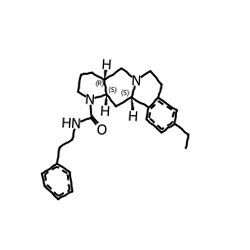 CCc1ccc2c(c1)CCN1C[C@H]3CCCN(C(=O)NCCc4ccccc4)[C@H]3C[C@@H]21